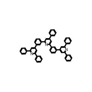 c1ccc(-c2cc(-c3cccc(-c4cc(-c5ccccc5)nc(-c5ccccc5)c4)c3)nc(-c3cccc(-c4cc(-c5ccccc5)nc(-c5ccccc5)c4)c3)c2)cc1